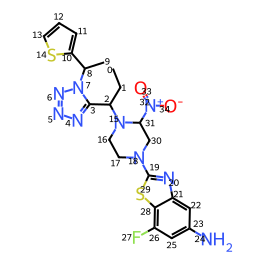 CCC(c1nnnn1C(C)c1cccs1)N1CCN(c2nc3cc(N)cc(F)c3s2)CC1[N+](=O)[O-]